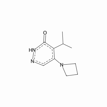 CC(C)c1c(N2CCC2)cn[nH]c1=O